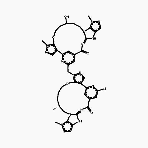 C[C@@H]1CCCOc2c(cnn2Cc2cc3cc(n2)-c2cnn(C)c2OCCC(O)CCN2/C(=N/C3=O)Nc3cnn(C)c32)-c2cc(cc(Cl)n2)C(=O)/N=C2\Nc3cnn(C)c3N2C1